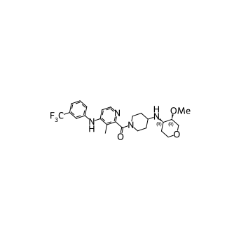 CO[C@H]1COCC[C@H]1NC1CCN(C(=O)c2nccc(Nc3cccc(C(F)(F)F)c3)c2C)CC1